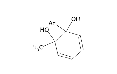 CC(=O)C1(O)C=CC=CC1(C)O